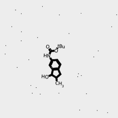 CC1Cc2ccc(NC(=O)OC(C)(C)C)cc2C1O